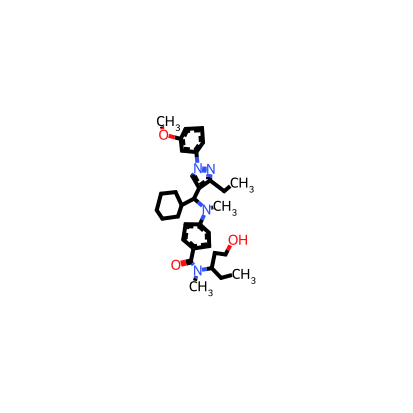 CCc1nn(-c2cccc(OC)c2)cc1C(C1CCCCC1)N(C)c1ccc(C(=O)N(C)C(CC)CCO)cc1